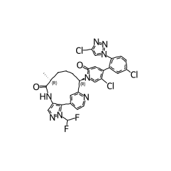 C[C@@H]1CCC[C@@H](n2cc(Cl)c(-c3cc(Cl)ccc3-n3cc(Cl)nn3)cc2=O)c2cc(ccn2)-c2c(cnn2C(F)F)NC1=O